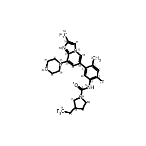 Cc1cc(F)c(NC(=O)N2CCC(CC(F)(F)F)C2)cc1-c1cc(N2CCOCC2)c2nc(C(F)(F)F)cn2c1